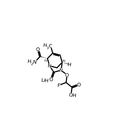 CC1=C[C@@H]2CN(C(=O)N2OC(F)C(=O)O)[C@@H]1C(N)=O.[LiH]